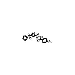 CC(=O)c1ccc(C(=O)NS(=O)(=O)c2cc(S(=O)(=O)c3ccccc3)cs2)cc1